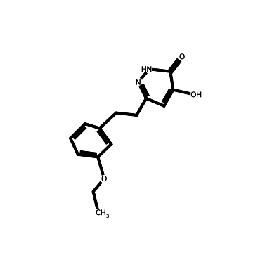 CCOc1cccc(CCc2cc(O)c(=O)[nH]n2)c1